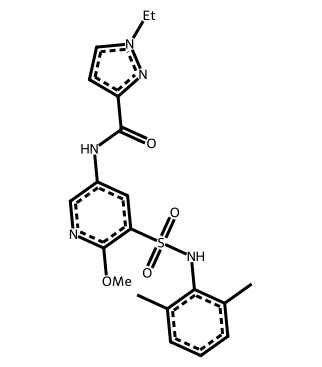 CCn1ccc(C(=O)Nc2cnc(OC)c(S(=O)(=O)Nc3c(C)cccc3C)c2)n1